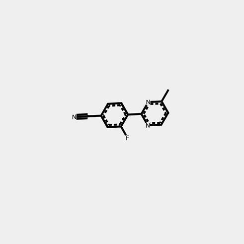 Cc1ccnc(-c2ccc(C#N)cc2F)n1